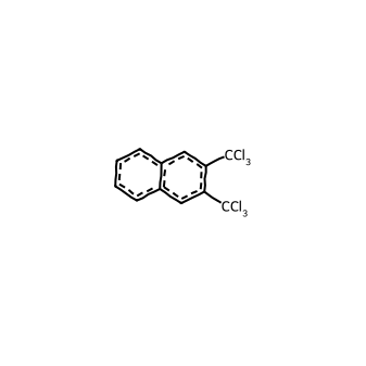 ClC(Cl)(Cl)c1cc2ccccc2cc1C(Cl)(Cl)Cl